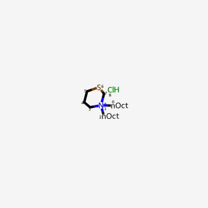 CCCCCCCC[N+]1(CCCCCCCC)CCCSC1.Cl